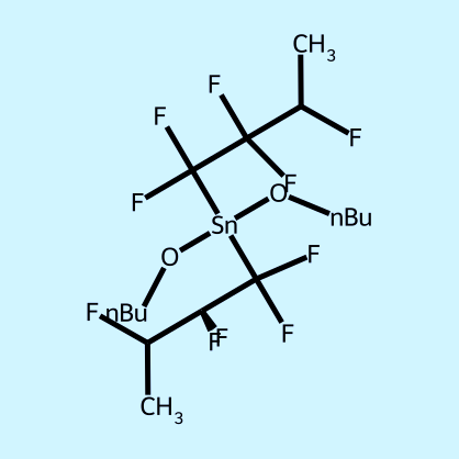 CCCC[O][Sn]([O]CCCC)([C](F)(F)C(F)(F)C(C)F)[C](F)(F)C(F)(F)C(C)F